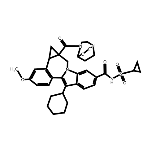 COc1ccc2c(c1)C1CC1(C(=O)N1CCN3CCC1CC3)Cn1c-2c(C2CCCCC2)c2ccc(C(=O)NS(=O)(=O)C3CC3)cc21